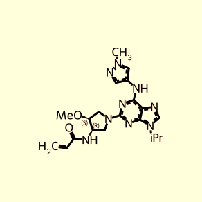 C=CC(=O)N[C@@H]1CN(c2nc(Nc3cnn(C)c3)c3ncn(C(C)C)c3n2)C[C@@H]1OC